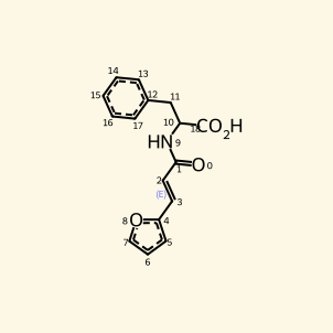 O=C(/C=C/c1ccco1)NC(Cc1ccccc1)C(=O)O